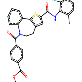 COC(=O)c1ccc(C(=O)N2CCc3cc(C(=O)Nc4c(C)cccc4F)sc3-c3ccccc32)cc1